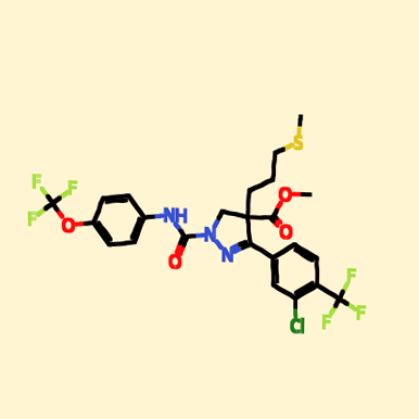 COC(=O)C1(CCCSC)CN(C(=O)Nc2ccc(OC(F)(F)F)cc2)N=C1c1ccc(C(F)(F)F)c(Cl)c1